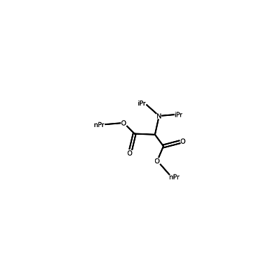 CCCOC(=O)C(C(=O)OCCC)N(C(C)C)C(C)C